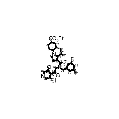 CCOC(=O)[C@H]1CC[C@H](n2ncc(C(=O)N(CC(=O)c3c(Cl)cncc3Cl)Cc3cc(F)cc(F)c3)c2C(F)F)CC1